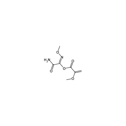 C=C(OC)C(=O)OC(=NOC)C(N)=O